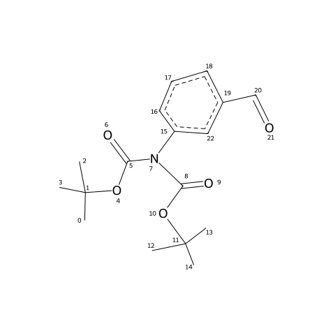 CC(C)(C)OC(=O)N(C(=O)OC(C)(C)C)c1cccc(C=O)c1